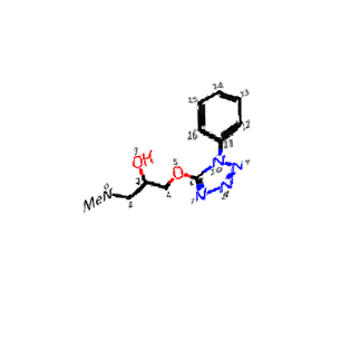 CNCC(O)COc1nnnn1-c1ccccc1